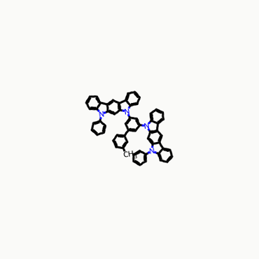 Cc1cccc(-c2cc(-n3c4ccccc4c4cc5c6ccccc6n(-c6ccccc6)c5cc43)cc(-n3c4ccccc4c4cc5c6ccccc6n(-c6ccccc6)c5cc43)c2)c1